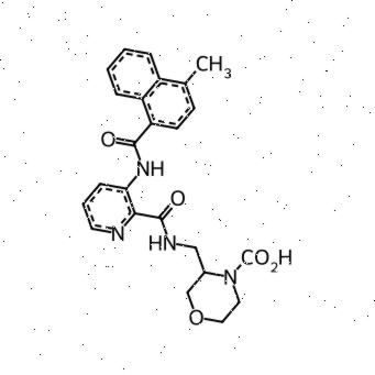 Cc1ccc(C(=O)Nc2cccnc2C(=O)NCC2COCCN2C(=O)O)c2ccccc12